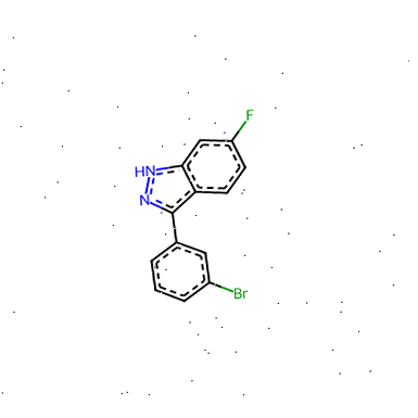 Fc1ccc2c(-c3cccc(Br)c3)n[nH]c2c1